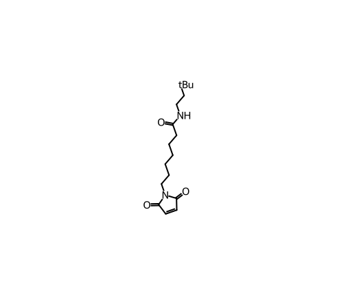 CC(C)(C)CCNC(=O)CCCCCCN1C(=O)C=CC1=O